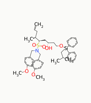 C=CC[C@H](C)[C@@H](C[C@@H](O)CCO[Si](CC(C)C)(c1ccccc1)c1ccccc1)S(=O)(=O)N(Cc1ccc(OC)cc1)Cc1ccc(OC)cc1